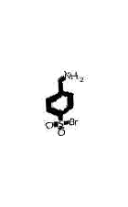 NCc1ccc(S(=O)(=O)Br)cc1